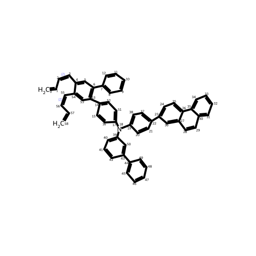 C=C/C=C\c1cc(-c2ccccc2)c(-c2ccc(N(c3ccc(-c4ccc5c(ccc6ccccc65)c4)cc3)c3cccc(-c4ccccc4)c3)cc2)cc1/C=C\C=C